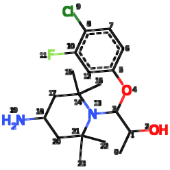 CC(O)C(Oc1ccc(Cl)c(F)c1)N1C(C)(C)CC(N)CC1(C)C